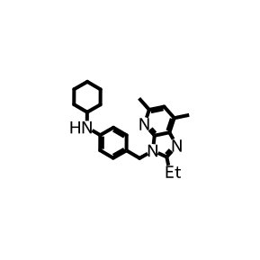 CCc1nc2c(C)cc(C)nc2n1Cc1ccc(NC2CCCCC2)cc1